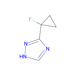 FC1(c2nc[nH]n2)CC1